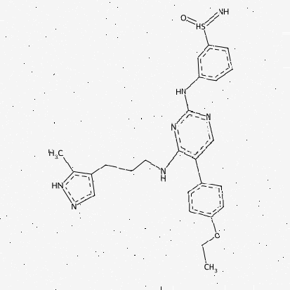 CCOc1ccc(-c2cnc(Nc3cccc([SH](=N)=O)c3)nc2NCCCc2cn[nH]c2C)cc1